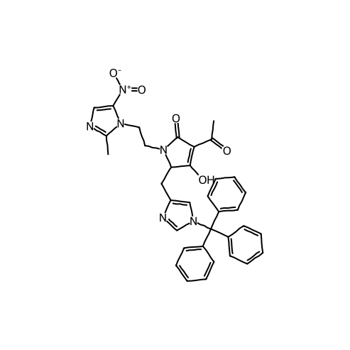 CC(=O)C1=C(O)C(Cc2cn(C(c3ccccc3)(c3ccccc3)c3ccccc3)cn2)N(CCn2c([N+](=O)[O-])cnc2C)C1=O